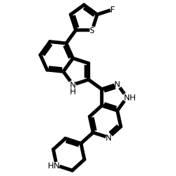 Fc1ccc(-c2cccc3[nH]c(-c4n[nH]c5cnc(C6=CCNCC6)cc45)cc23)s1